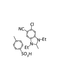 CCN1c2cc(Cl)c(C#N)cc2N(CC)C1C.Cc1ccc(S(=O)(=O)O)cc1